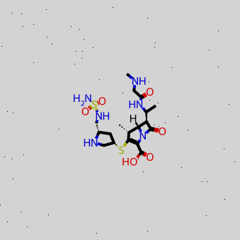 CNCC(=O)NC(C)[C@H]1C(=O)N2C(C(=O)O)=C(S[C@@H]3CN[C@H](CNS(N)(=O)=O)C3)[C@H](C)[C@H]12